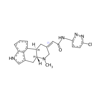 CN1C/C(=C\C(=O)Nc2ccc(Cl)nn2)C[C@@H]2c3cccc4[nH]cc(c34)C[C@H]21